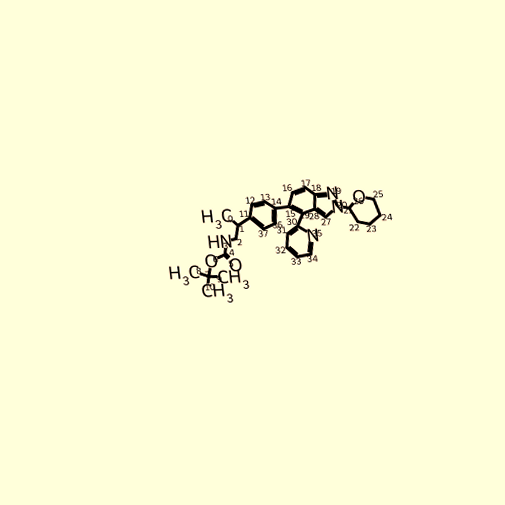 CC(CNC(=O)OC(C)(C)C)c1ccc(-c2ccc3nn(C4CCCCO4)cc3c2-c2ccccn2)cc1